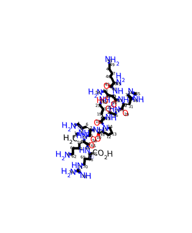 C=CN/C(=C\N)C[C@H](NC(=O)[C@@H]1CCCN1C(=O)[C@@H](CCCN)NC(=O)CNC(=O)[C@H](Cc1cnc[nH]1)NC(=O)[C@@H](NC(=O)[C@@H](N)CCCCN)[C@@H](O)CN)C(=O)N[C@@H](CCCCN)C(=O)N/C(=C\CCNC(=N)N)C(=O)O